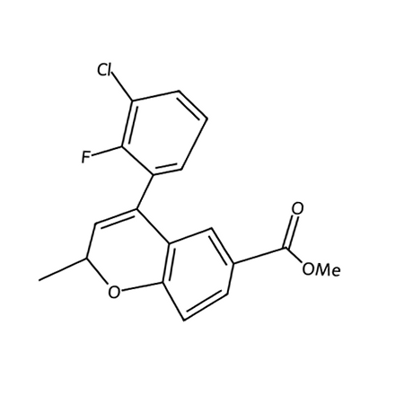 COC(=O)c1ccc2c(c1)C(c1cccc(Cl)c1F)=CC(C)O2